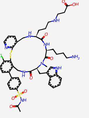 CC(=O)NS(=O)(=O)c1ccc(-c2ccc(Cl)c3c2CNC(=O)[C@H](Cc2c[nH]c4ccccc24)N(C)C(=O)[C@H](CCCCN)NC(=O)[C@H](CCCNCCC(=O)O)NCc2cccnc2S3)cc1